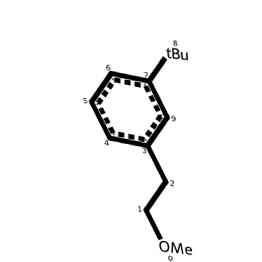 COCCc1cccc(C(C)(C)C)c1